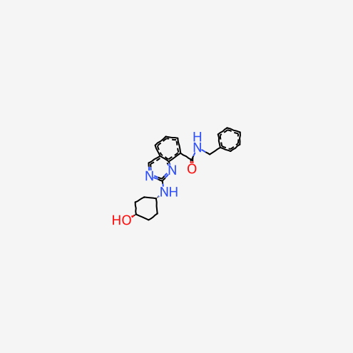 O=C(NCc1ccccc1)c1cccc2cnc(N[C@H]3CC[C@H](O)CC3)nc12